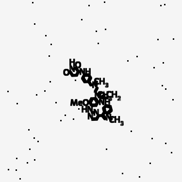 C=CC(=O)Nc1cc(Nc2nccc(-c3cn(C)c4ccccc34)n2)c(OC)cc1N(C)CCN(C)Cc1ccc(NC2CCC(=O)NC2=O)cc1